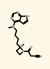 CN(CCCC[C@@]1(C)CCN1C(=O)CC#N)c1ncnc2[nH]ccc12